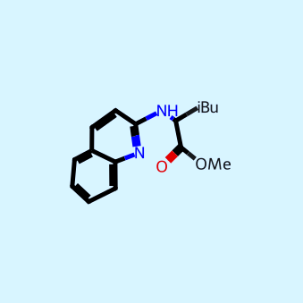 CCC(C)C(Nc1ccc2ccccc2n1)C(=O)OC